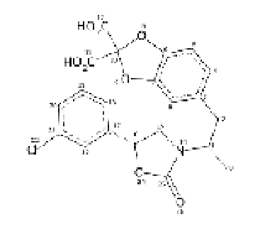 C[C@@H](Cc1ccc2c(c1)OC(C(=O)O)(C(=O)O)O2)N1C[C@@H](c2cccc(Cl)c2)OC1=O